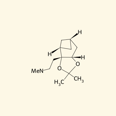 CNCC[C@]12OC(C)(C)O[C@H]1C[C@H]1C[C@@H]2C1